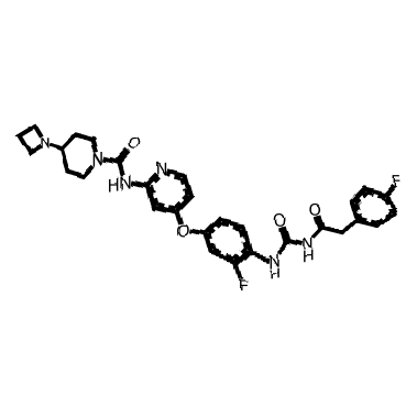 O=C(Cc1ccc(F)cc1)NC(=O)Nc1ccc(Oc2ccnc(NC(=O)N3CCC(N4CCC4)CC3)c2)cc1F